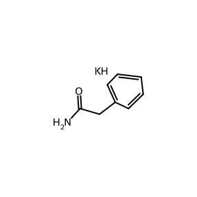 NC(=O)Cc1ccccc1.[KH]